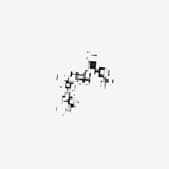 COC(=O)C1=NC=CC(C)([C@@H]2C[C@H](CO)[C@H]2COP(=O)(O)OC[C@H]2O[C@@H](n3cnc4c(N)ncnc43)[C@H](F)[C@@H]2O)C1